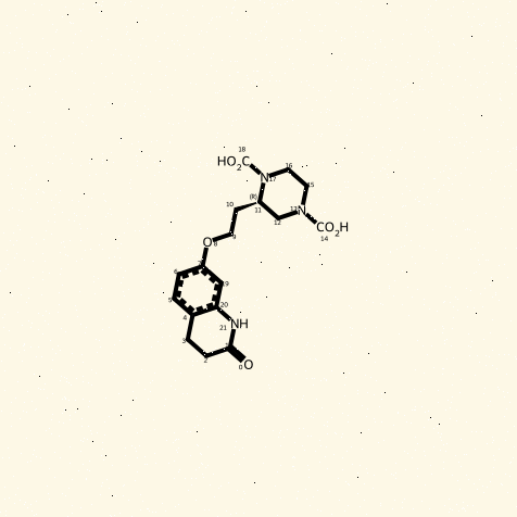 O=C1CCc2ccc(OCC[C@@H]3CN(C(=O)O)CCN3C(=O)O)cc2N1